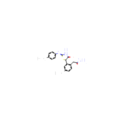 Cc1ccc(/N=C2/NC(=O)C(c3cc(C)ccc3CC(N)=O)S2)cc1